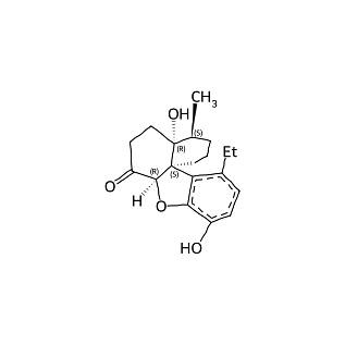 CCc1ccc(O)c2c1[C@]13CCC[C@H](C)[C@]1(O)CCC(=O)[C@@H]3O2